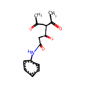 CC(=O)C(C(C)=O)C(=O)CC(=O)Nc1ccccc1